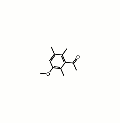 COc1cc(C)c(C)c(C(C)=O)c1C